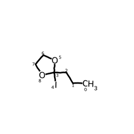 CCCC1(I)OCCO1